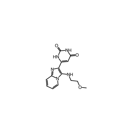 COCCNc1c(-c2cc(=O)[nH]c(=O)[nH]2)nc2ccccn12